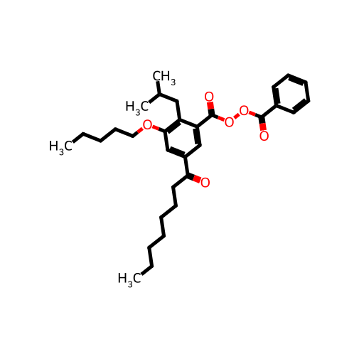 CCCCCCCC(=O)c1cc(OCCCCC)c(CC(C)C)c(C(=O)OOC(=O)c2ccccc2)c1